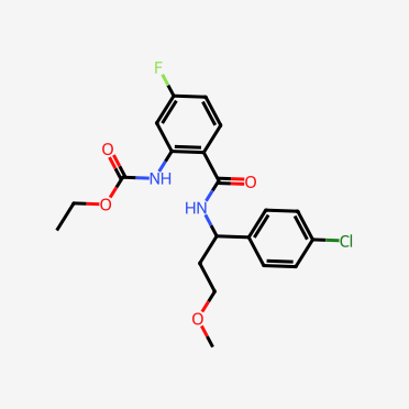 CCOC(=O)Nc1cc(F)ccc1C(=O)NC(CCOC)c1ccc(Cl)cc1